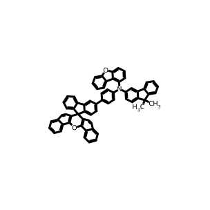 CC1(C)c2ccccc2-c2cc(N(c3ccc(-c4ccc5c(c4)-c4ccccc4C54c5ccc6ccccc6c5Oc5c4ccc4ccccc54)cc3)c3cccc4oc5ccccc5c34)ccc21